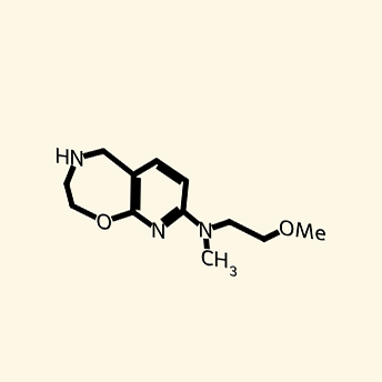 COCCN(C)c1ccc2c(n1)OCCNC2